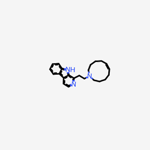 C1=C\CCCCN(CCc2nccc3c2[nH]c2ccccc23)CCCC/1